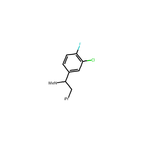 CNC(CC(C)C)c1ccc(F)c(Cl)c1